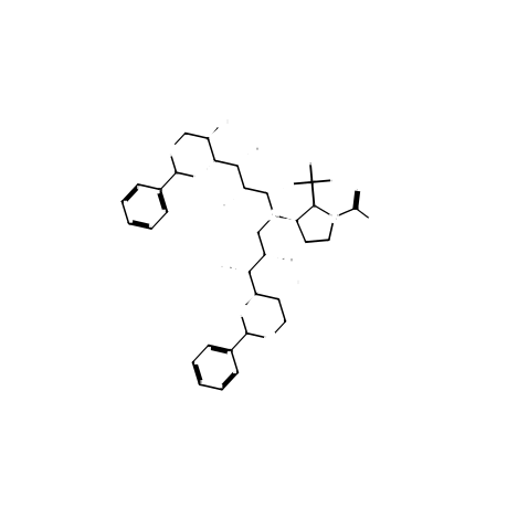 CC(C)(C)C1[C@H](N(C[C@H](O)[C@@H](O)[C@@H]2OC(c3ccccc3)OC[C@H]2O)C[C@H](O)[C@@H](O)[C@@H]2OC(c3ccccc3)OC[C@H]2O)CCN1C(=O)O